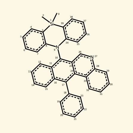 C[Si]1(C)c2ccccc2N(c2c3ccccc3c(-c3ccccc3)c3c2cnc2ccccc23)c2ccccc21